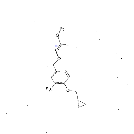 CCO/C(C)=N/OCc1ccc(OCC2CC2)c(C(F)(F)F)c1